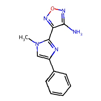 Cn1cc(-c2ccccc2)nc1-c1nonc1N